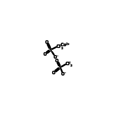 O=S(=O)([O-])C(F)(F)F.O=S(=O)([O-])C(F)(F)F.[Co+2]